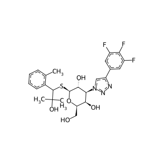 Cc1ccccc1C(S[C@@H]1O[C@H](CO)[C@H](O)[C@H](n2cc(-c3cc(F)c(F)c(F)c3)nn2)[C@H]1O)C(C)(C)O